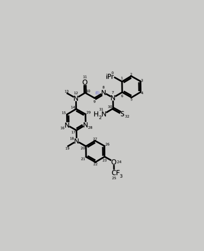 CC(C)c1ccccc1N(/N=C/C(=O)N(C)c1cnc(N(C)c2ccc(OC(F)(F)F)cc2)nc1)C(N)=S